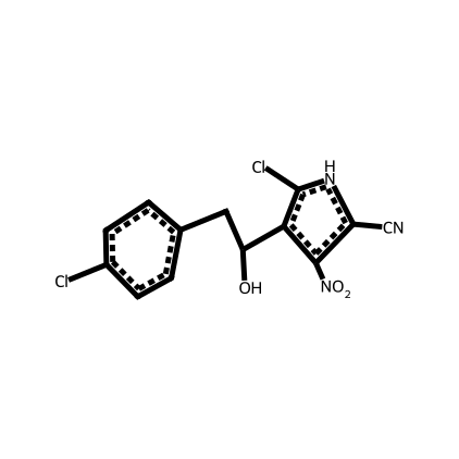 N#Cc1[nH]c(Cl)c(C(O)Cc2ccc(Cl)cc2)c1[N+](=O)[O-]